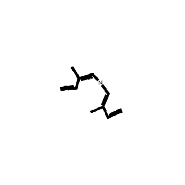 C=CC(C)=[CH][Ni][CH]=C(C)C=C